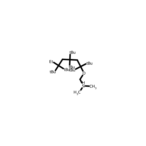 CCC(CC(CC(OC[SiH](C)C)(C(C)(C)C)C(C)(C)C)(C(C)(C)C)C(C)(C)C)(C(C)(C)C)C(C)(C)C